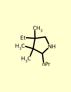 CCCC1NCC(C)(CC)C1(C)C